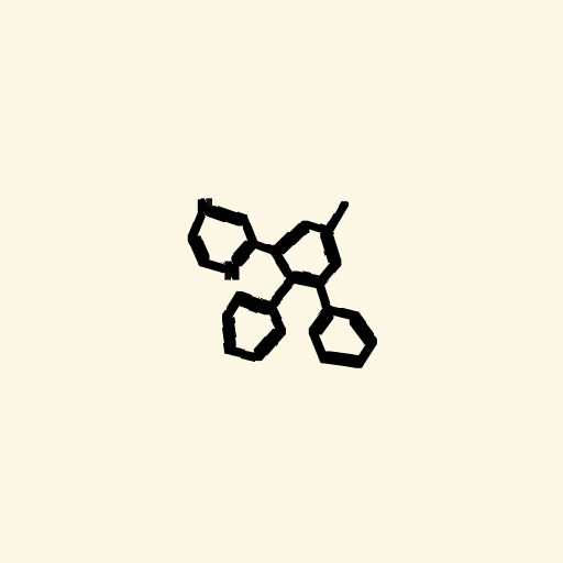 Cc1cc(-c2ccccc2)c(-c2ccccc2)c(-c2cnccn2)c1